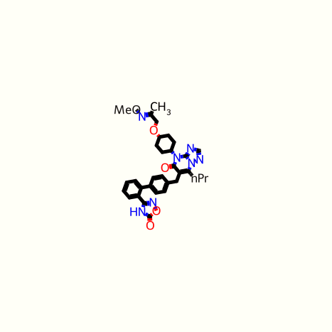 CCCc1c(Cc2ccc(-c3ccccc3-c3noc(=O)[nH]3)cc2)c(=O)n(C2CCC(OCC(C)=NOC)CC2)c2ncnn12